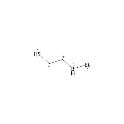 CCBCCS